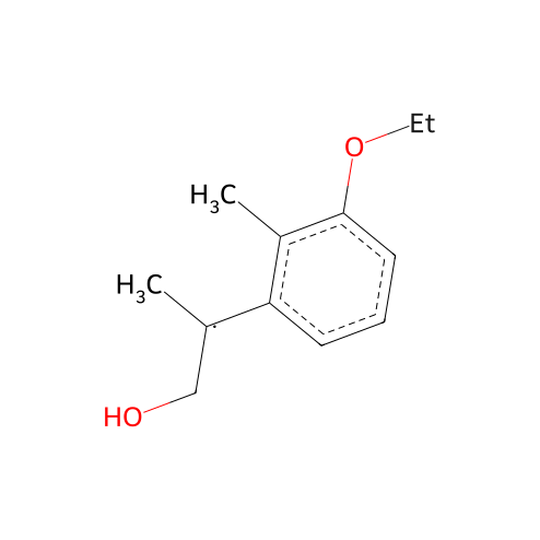 CCOc1cccc([C](C)CO)c1C